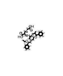 CCOC(CN1CCN(CC(C)C(=O)c2ccccc2)CC1)c1ccccc1.N[C@@H](CSCC(=O)O)C(=O)O